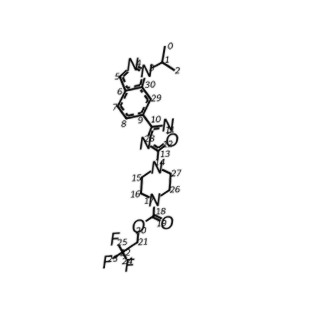 CC(C)n1ncc2ccc(-c3noc(N4CCN(C(=O)OCC(F)(F)F)CC4)n3)cc21